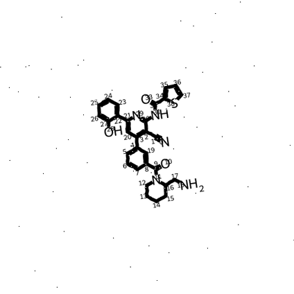 N#Cc1c(-c2cccc(C(=O)N3CCCCC3CN)c2)cc(-c2ccccc2O)nc1NC(=O)c1cccs1